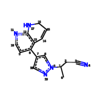 CC(CC#N)n1cc(-c2ccnc3c2C=CCN3)cn1